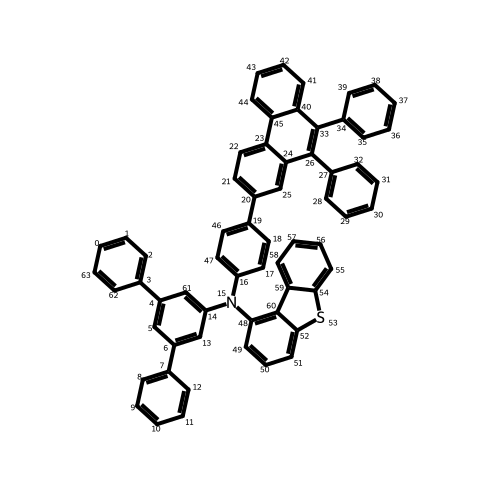 c1ccc(-c2cc(-c3ccccc3)cc(N(c3ccc(-c4ccc5c(c4)c(-c4ccccc4)c(-c4ccccc4)c4ccccc45)cc3)c3cccc4sc5ccccc5c34)c2)cc1